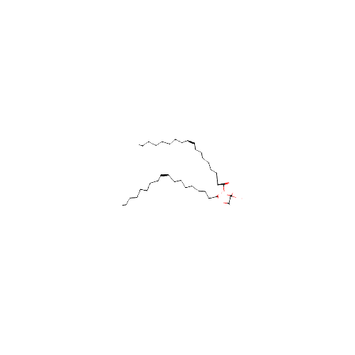 CCCCCCCC/C=C\CCCCCCCC(=O)OC(C)C(O)(O)OC(=O)CCCCCCC/C=C\CCCCCCCC